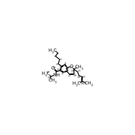 CCCCCc1cc2c(cc1C(=O)NC(C)C)C=CC(C)(CCC=C(C)C)O2